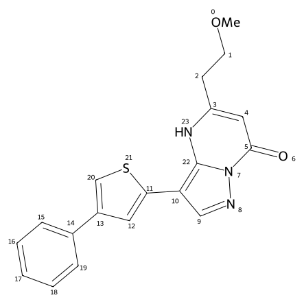 COCCc1cc(=O)n2ncc(-c3cc(-c4ccccc4)cs3)c2[nH]1